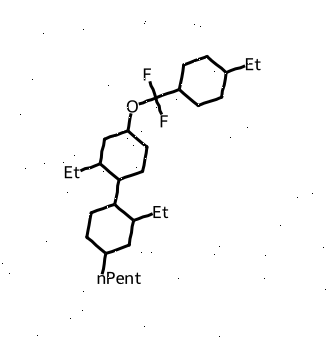 CCCCCC1CCC(C2CCC(OC(F)(F)C3CCC(CC)CC3)CC2CC)C(CC)C1